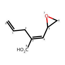 C=CCC(=CC1CO1)C(=O)O